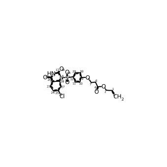 C=CCOC(=O)CCOc1ccc(S(=O)(=O)n2c(=O)[nH]c(=O)c3ccc(Cl)cc32)cc1